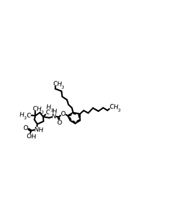 CCCCCCCc1cccc(OC(=O)NCC2(C)CC(NC(=O)O)CC(C)(C)C2)c1CCCCCCC